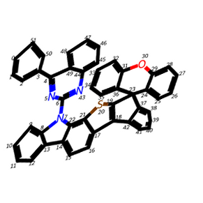 c1ccc(-c2nc(-n3c4ccccc4c4ccc5c6c(sc5c43)C3(c4ccccc4Oc4ccccc43)c3ccccc3-6)nc3ccccc23)cc1